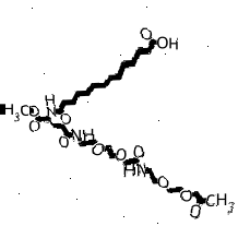 COC(=O)[C@H](CCC(=O)NCCOCCOCC(=O)NCCOCCOCC(C)=O)NC(=O)CCCCCCCCCCCCC(=O)O